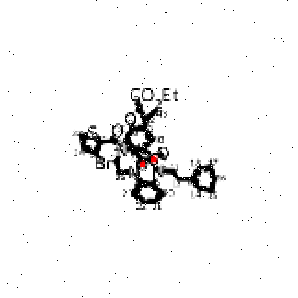 CCOC(=O)c1oc2ccc(S(=O)(=O)N(CCc3ccccc3)c3ccccc3N3CCN(C(=O)c4sccc4Br)CC3C)cc2c1C